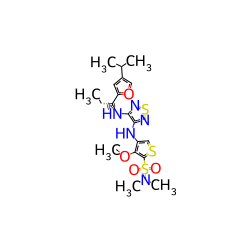 CC[C@@H](Nc1nsnc1Nc1csc(S(=O)(=O)N(C)C)c1OC)c1cc(C(C)C)co1